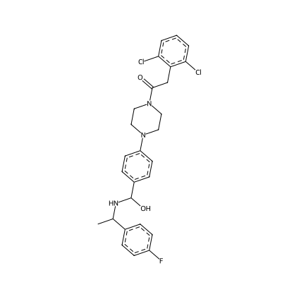 CC(NC(O)c1ccc(N2CCN(C(=O)Cc3c(Cl)cccc3Cl)CC2)cc1)c1ccc(F)cc1